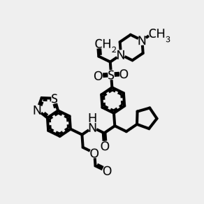 C=CC(N1CCN(C)CC1)S(=O)(=O)c1ccc(C(CC2CCCC2)C(=O)NC(COC=O)c2ccc3ncsc3c2)cc1